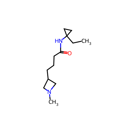 CCC1(NC(=O)CCCC2CN(C)C2)CC1